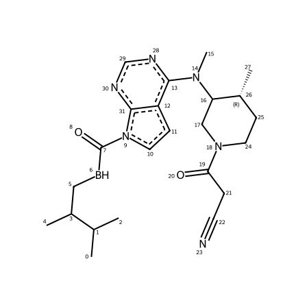 CC(C)C(C)CBC(=O)n1ccc2c(N(C)C3CN(C(=O)CC#N)CC[C@H]3C)ncnc21